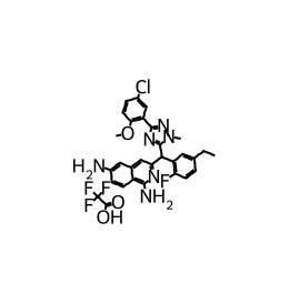 CCc1ccc(F)c(C(c2cc3cc(N)ccc3c(N)n2)c2nc(-c3cc(Cl)ccc3OC)nn2C)c1.O=C(O)C(F)(F)F